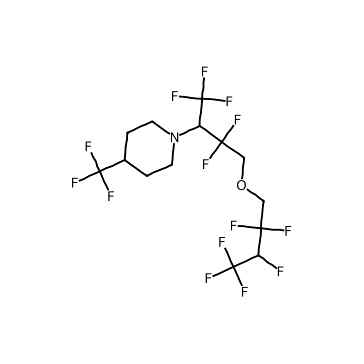 FC(C(F)(F)F)C(F)(F)COCC(F)(F)C(N1CCC(C(F)(F)F)CC1)C(F)(F)F